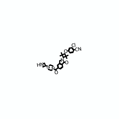 CC1(C)C(Oc2ccc(C#N)c(Cl)c2)C(C)(C)C1N1Cc2cc(C(=O)N3CCN(C4CNC4)CC3)ccc2C1=O